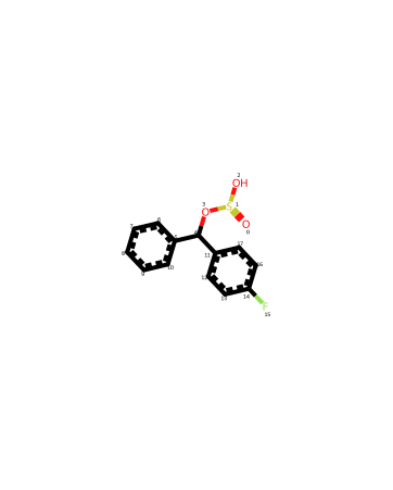 O=S(O)OC(c1ccccc1)c1ccc(F)cc1